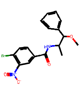 COC(c1ccccc1)C(C)NC(=O)c1ccc(Br)c([N+](=O)[O-])c1